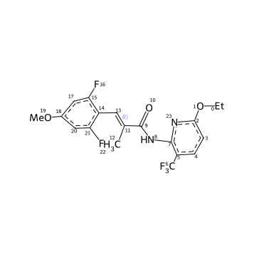 CCOc1ccc(C(F)(F)F)c(NC(=O)/C(C)=C/c2c(F)cc(OC)cc2F)n1